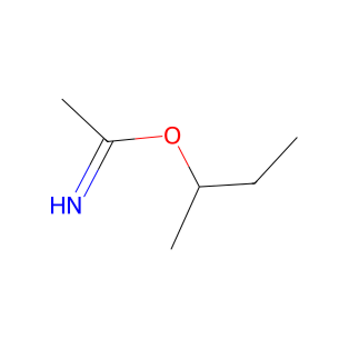 CCC(C)OC(C)=N